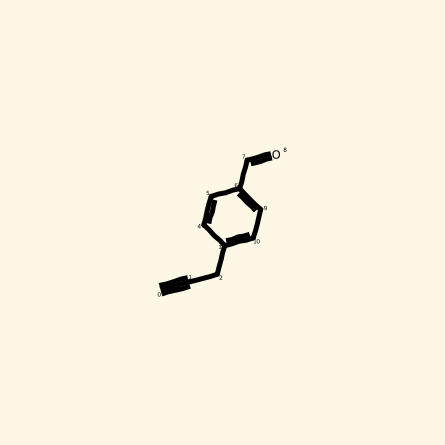 C#CCc1ccc(C=O)cc1